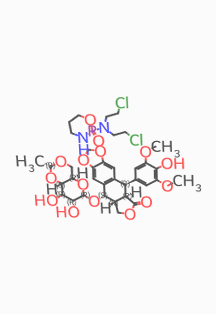 COc1cc([C@@H]2c3cc4c(cc3[C@@H](O[C@@H]3O[C@@H]5CO[C@@H](C)O[C@H]5[C@H](O)[C@H]3O)[C@H]3COC(=O)[C@H]23)OCO4)cc(OC)c1O.O=P1(N(CCCl)CCCl)NCCCO1